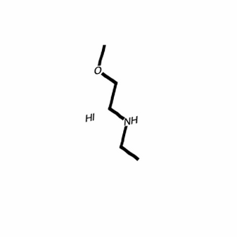 CCNCCOC.I